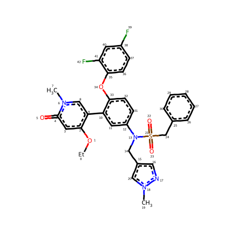 CCOc1cc(=O)n(C)cc1-c1cc(N(Cc2cnn(C)c2)S(=O)(=O)Cc2ccccc2)ccc1Oc1ccc(F)cc1F